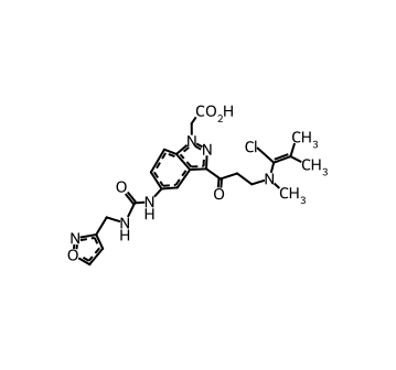 CC(C)=C(Cl)N(C)CCC(=O)c1nn(CC(=O)O)c2ccc(NC(=O)NCc3ccon3)cc12